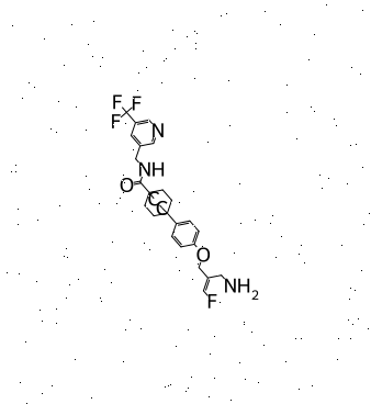 NC/C(=C\F)COc1ccc(C23CCC(C(=O)NCc4cncc(C(F)(F)F)c4)(CC2)CC3)cc1